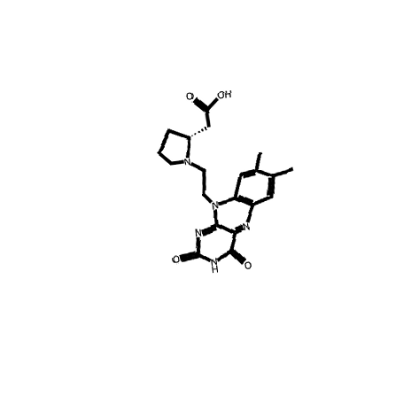 Cc1cc2nc3c(=O)[nH]c(=O)nc-3n(CCN3CCC[C@@H]3CC(=O)O)c2cc1C